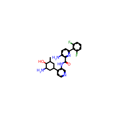 CC1CC(c2ccncc2NC(=O)c2nc(-c3c(F)cccc3F)ccc2N)CC(N)C1O